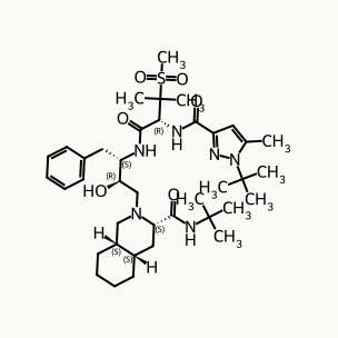 Cc1cc(C(=O)N[C@H](C(=O)N[C@@H](Cc2ccccc2)[C@H](O)CN2C[C@H]3CCCC[C@H]3C[C@H]2C(=O)NC(C)(C)C)C(C)(C)S(C)(=O)=O)nn1C(C)(C)C